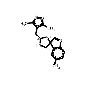 Cc1ccc2c(c1)C1(C=N2)CN[C@@H](Cc2c(C)noc2C)N1